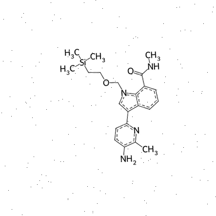 CNC(=O)c1cccc2c(-c3ccc(N)c(C)n3)cn(COCC[Si](C)(C)C)c12